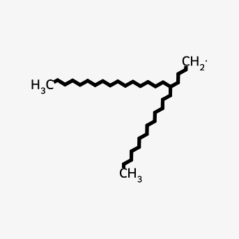 [CH2]CCCC(CCCCCCCCCCCCC)CCCCCCCCCCCCCCCC